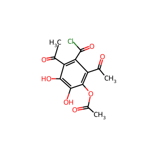 CC(=O)Oc1c(O)c(O)c(C(C)=O)c(C(=O)Cl)c1C(C)=O